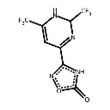 O=c1[nH]c(C2=NC(C(F)(F)F)NC(C(F)(F)F)=C2)no1